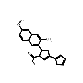 CCOC1=CC2C=C(C)C(C3CC(C4=CC=CC4)=CC3C(=O)C(C)C)=CC2C=C1